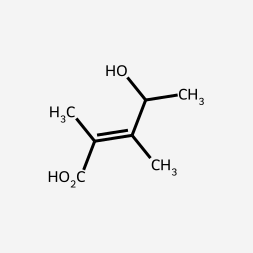 C/C(C(=O)O)=C(/C)C(C)O